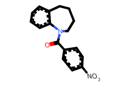 O=C(c1ccc([N+](=O)[O-])cc1)N1CCCCc2ccccc21